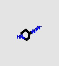 [N-]=[N+]=C1CCNCC1